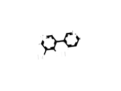 Cc1c(Br)cncc1-c1cccnc1